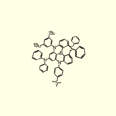 CC(C)(C)c1cc(N2c3cc(N(c4ccccc4)c4ccccc4)cc4c3B3c5c(cccc5S(c5ccccc5)(c5ccccc5)c5cccc2c53)N4c2ccc(S(C)(C)C)cc2)cc(C(C)(C)C)c1